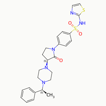 C[C@@H](c1ccccc1)N1CCN([C@H]2CCN(c3ccc(S(=O)(=O)Nc4nccs4)cc3)C2=O)CC1